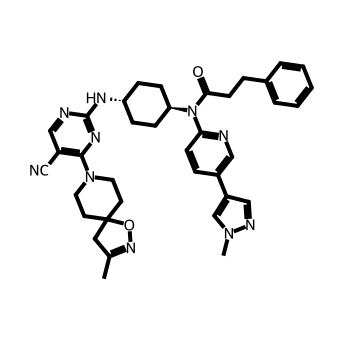 CC1=NOC2(CCN(c3nc(N[C@H]4CC[C@H](N(C(=O)CCc5ccccc5)c5ccc(-c6cnn(C)c6)cn5)CC4)ncc3C#N)CC2)C1